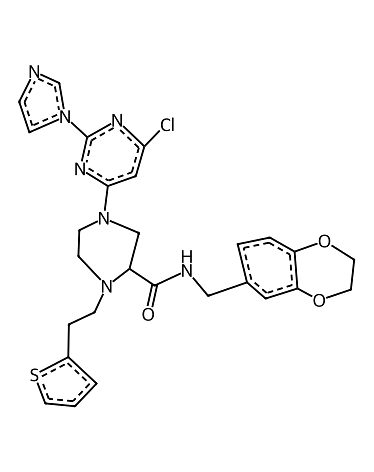 O=C(NCc1ccc2c(c1)OCCO2)C1CN(c2cc(Cl)nc(-n3ccnc3)n2)CCN1CCc1cccs1